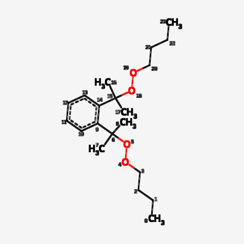 CCCCOOC(C)(C)c1ccccc1C(C)(C)OOCCCC